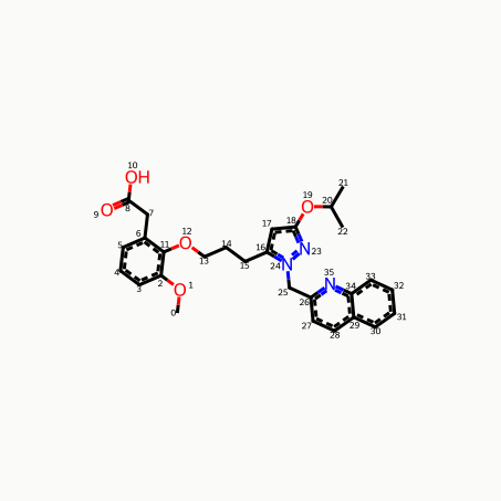 COc1cccc(CC(=O)O)c1OCCCc1cc(OC(C)C)nn1Cc1ccc2ccccc2n1